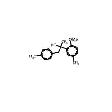 COc1ccc(C)cc1C(O)(Cc1ccc(C)cc1)C(F)(F)F